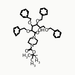 CC(C)(C)OC(=O)N1CCN(C(=O)C(OCc2ccccc2)C(OCc2ccccc2)C(OCc2ccccc2)C(O)COCc2ccccc2)CC1